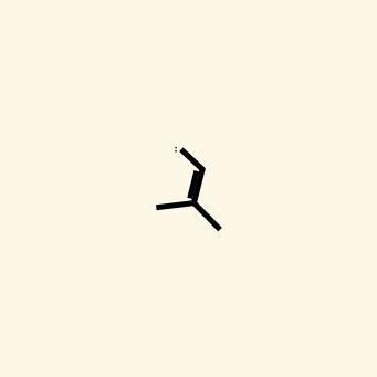 [CH]C=C(C)C